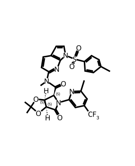 Cc1ccc(S(=O)(=O)n2ccc3ccc(N(C)C(=O)[C@@H]4[C@@H]5OC(C)(C)O[C@@H]5C(=O)N4c4cc(C(F)(F)F)cc(C)n4)nc32)cc1